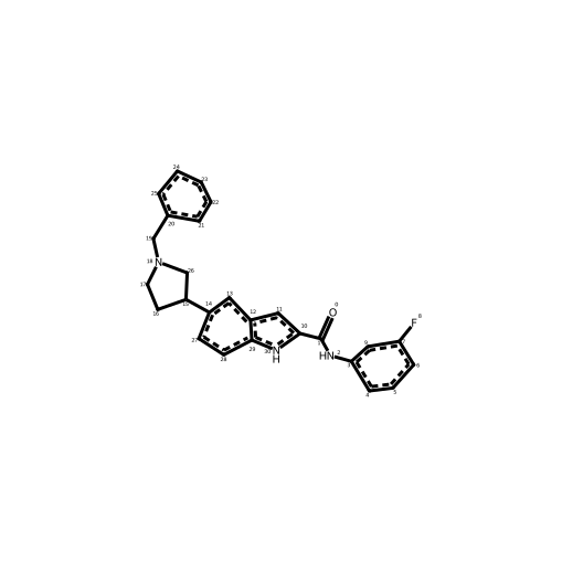 O=C(Nc1cccc(F)c1)c1cc2cc(C3CCN(Cc4ccccc4)C3)ccc2[nH]1